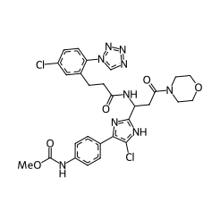 COC(=O)Nc1ccc(-c2nc(C(CC(=O)N3CCOCC3)NC(=O)CCc3cc(Cl)ccc3-n3cnnn3)[nH]c2Cl)cc1